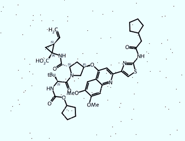 C=C[C@@H]1C[C@]1(NC(=O)[C@@H]1C[C@@H](Oc2cc(-c3csc(NC(=O)CC4CCCC4)n3)nc3cc(OC)c(OC)cc23)CN1C(=O)[C@@H](NC(=O)OC1CCCC1)C(C)(C)C)C(=O)O